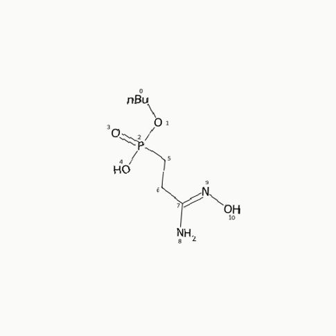 CCCCOP(=O)(O)CCC(N)=NO